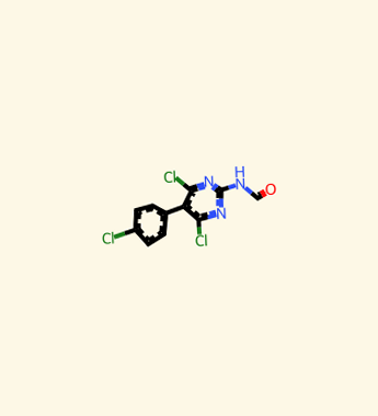 O=CNc1nc(Cl)c(-c2ccc(Cl)cc2)c(Cl)n1